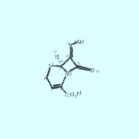 O=C(O)C1=CCS[C@H]2C(=NS)C(=O)N12